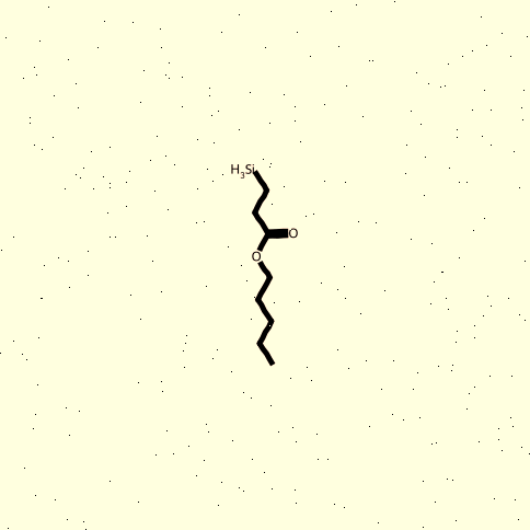 CCCCCOC(=O)CC[SiH3]